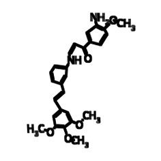 COc1ccc(C(=O)/C=C\Nc2cccc(/C=C/c3cc(OC)c(OC)c(OC)c3)c2)cc1N